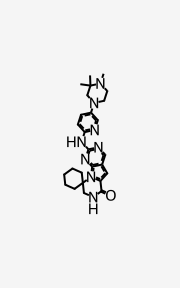 CN1CCN(c2ccc(Nc3ncc4cc5n(c4n3)C3(CCCCC3)CNC5=O)nc2)CC1(C)C